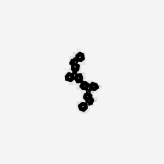 c1ccc(-n2ccc3cc(-n4c5ccccc5c5cc(-c6ccc7c(c6)c6ccccc6n7-c6ccc7c(ccn7-c7ccccc7)c6)ccc54)ccc32)cc1